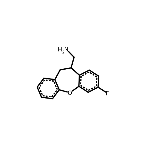 NCC1Cc2ccccc2Oc2cc(F)ccc21